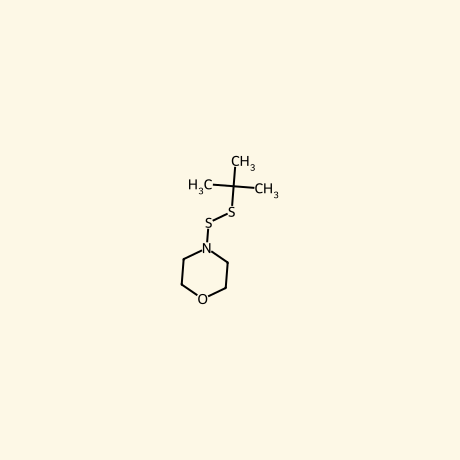 CC(C)(C)SSN1CCOCC1